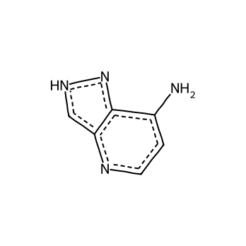 Nc1ccnc2c[nH]nc12